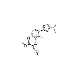 CO/C=C(\Oc1cccc(-n2ccc(C(C)C)n2)c1C)C(=O)OC